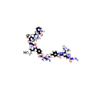 CCCOC(C[C@H](C(C)C)N(CCC)[C@H](C)[C@@H](NC(=O)[C@H]1CCCCN1C)[C@@H](C)CC)c1nc(C(=O)N[C@@H](Cc2ccc(OC(=O)N(C)CCN(C)C(=O)OCc3ccc(NC(=O)[C@@H](CCCNC(N)=O)NC(=O)[C@H](N)C(C)C)cc3)cc2)C[C@H](C)C(=O)O)cs1